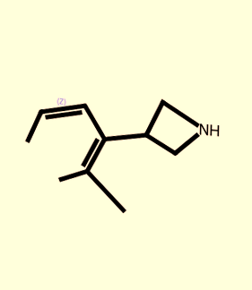 C/C=C\C(=C(C)C)C1CNC1